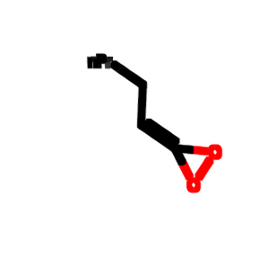 CCCCC=C1OO1